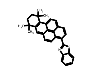 CC1(C)CCC(C)(C)c2c1cc1ccc3c(-c4nc5ccccc5s4)ccc4ccc2c1c43